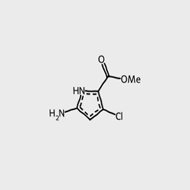 COC(=O)c1[nH]c(N)cc1Cl